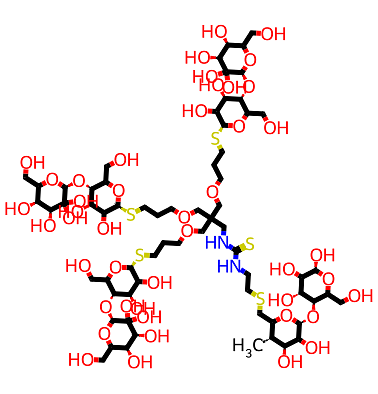 C[C@@H]1C(CSCCNC(=S)NCC(COCCCS[C@@H]2OC(CO)[C@@H](O[C@@H]3OC(CO)[C@H](O)[C@H](O)C3(O)O)[C@H](O)C2O)(COCCCS[C@@H]2OC(CO)[C@@H](O[C@@H]3OC(CO)[C@H](O)[C@H](O)C3(O)O)[C@H](O)C2O)COCCCS[C@@H]2OC(CO)[C@@H](O[C@@H]3OC(CO)[C@H](O)[C@H](O)C3(O)O)[C@H](O)C2O)O[C@H](O[C@@H]2C(CO)O[C@H](O)C(O)[C@H]2O)C(O)[C@H]1O